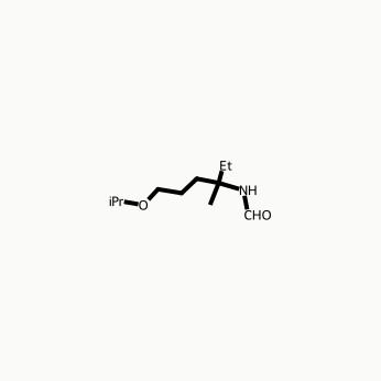 CCC(C)(CCCOC(C)C)NC=O